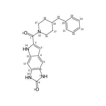 O=C(c1cc2cc3[nH]c(=O)[nH]c3cc2[nH]1)N1CCC(Cc2ccccc2)CC1